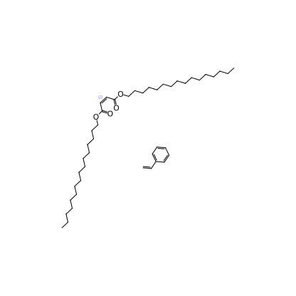 C=Cc1ccccc1.CCCCCCCCCCCCCCCCOC(=O)/C=C\C(=O)OCCCCCCCCCCCCCCCC